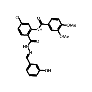 COc1ccc(C(=O)Nc2cc(Cl)ccc2C(=O)NN=Cc2cccc(O)c2)cc1OC